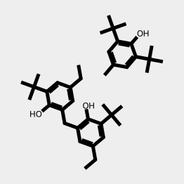 CCc1cc(Cc2cc(CC)cc(C(C)(C)C)c2O)c(O)c(C(C)(C)C)c1.Cc1cc(C(C)(C)C)c(O)c(C(C)(C)C)c1